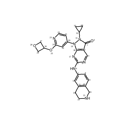 O=c1c2cnc(Nc3ccc4c(c3)CCNC4)nc2n(-c2ccnc(OC3COC3)c2)n1C1CC1